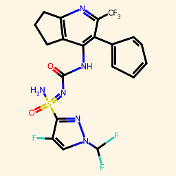 NS(=O)(=NC(=O)Nc1c2c(nc(C(F)(F)F)c1-c1ccccc1)CCC2)c1nn(C(F)F)cc1F